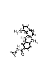 Cc1ccc(C(=O)NC2CC2)cc1Nc1ncnn2ccc(C)c12